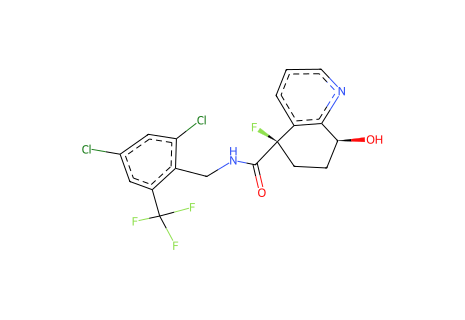 O=C(NCc1c(Cl)cc(Cl)cc1C(F)(F)F)[C@@]1(F)CC[C@H](O)c2ncccc21